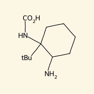 CC(C)(C)C1(NC(=O)O)CCCCC1N